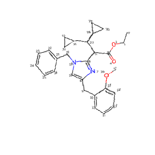 CCOC(=O)C(c1nc(Cc2ccccc2OC)cn1Cc1ccccc1)C(C1CC1)C1CC1